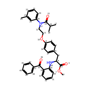 COC(=O)C(Cc1ccc(OCCN(C(=O)C(C)C)c2cccc(C)c2)cc1)Nc1ccccc1C(=O)c1ccccc1